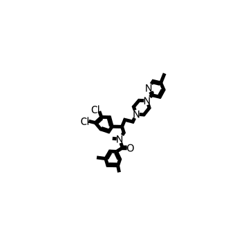 Cc1ccc(N2CCN(CCC(CN(C)C(=O)c3cc(C)cc(C)c3)c3ccc(Cl)c(Cl)c3)CC2)nc1